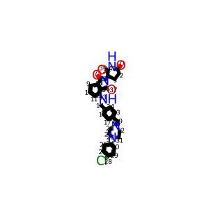 O=C1CCC(N2C(=O)c3cccc(NCc4ccc(CN5CCN(c6ccc(Cl)cc6)CC5)cc4)c3C2=O)C(=O)N1